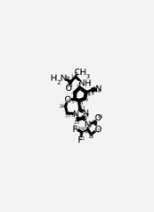 CC(Nc1cc2c(cc1C#N)-c1nc(N3C(=O)OC[C@H]3C(F)F)cn1CCO2)C(N)=O